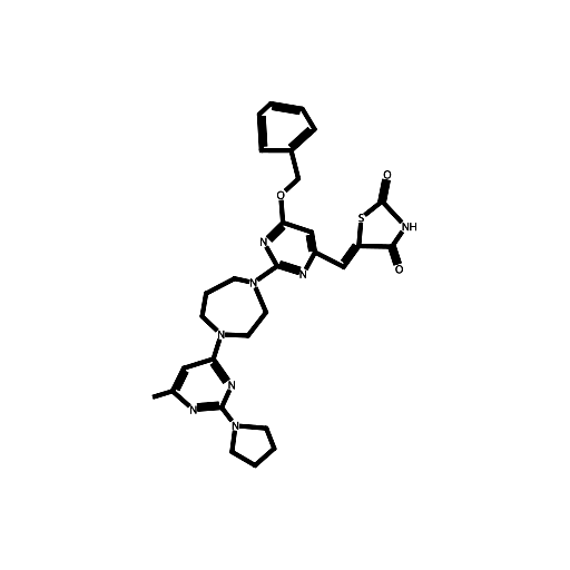 Cc1cc(N2CCCN(c3nc(/C=C4\SC(=O)NC4=O)cc(OCc4ccccc4)n3)CC2)nc(N2CCCC2)n1